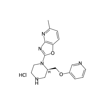 Cc1ccc2oc(N3CCNC[C@@H]3COc3cccnc3)nc2n1.Cl